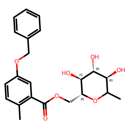 Cc1ccc(OCc2ccccc2)cc1C(=O)OC[C@H]1OC(C)[C@H](O)[C@@H](O)[C@@H]1O